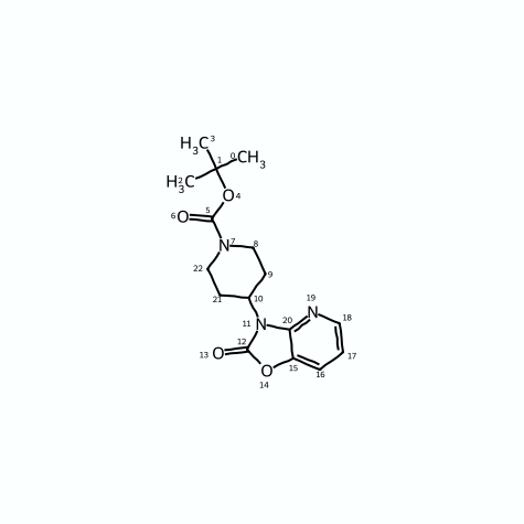 CC(C)(C)OC(=O)N1CCC(n2c(=O)oc3cccnc32)CC1